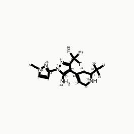 Cn1ccc(-n2nc(C(F)(F)F)c(C3=CCNC(C(C)(C)C)C3)c2N)n1